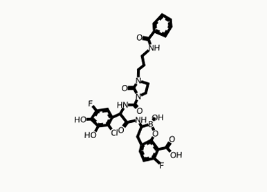 O=C(NCCCN1CCN(C(=O)NC(C(=O)NC2Cc3ccc(F)c(C(=O)O)c3OB2O)c2cc(F)c(O)c(O)c2Cl)C1=O)c1ccccc1